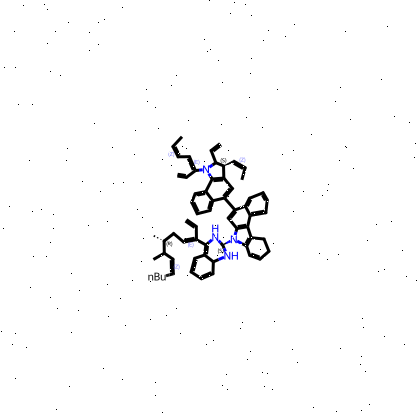 C=C/C(=C\C[C@@H](C)C(C)/C=C\CCCC)C1=C2C=CC=CC2N[C@H](n2c3c(c4c5ccccc5c(-c5cc6c(c7ccccc57)N(/C(C=C)=C/C=C\C)C(C=C)[C@H]6/C=C\C)cc42)CCC=C3)N1